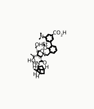 C=C1[C@H]2C[C@H](NC(=O)[C@@H]3[C@H]([C@H](C)O)[C@H](CO)ON3Cc3cccc(-c4cc(C(=O)O)cc(N(C)C)c4)c3OCC)[C@@H](C)[C@@H]1C2